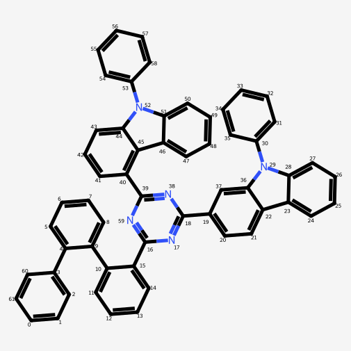 c1ccc(-c2ccccc2-c2ccccc2-c2nc(-c3ccc4c5ccccc5n(-c5ccccc5)c4c3)nc(-c3cccc4c3c3ccccc3n4-c3ccccc3)n2)cc1